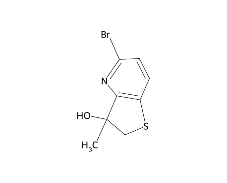 CC1(O)CSc2ccc(Br)nc21